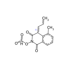 C=C/C=C1/C(=O)N(O[SH](=O)=O)C(=O)c2cccc(C)c21